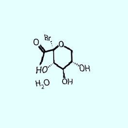 CC(=O)[C@@]1(Br)OC[C@H](O)[C@@H](O)[C@@H]1O.O